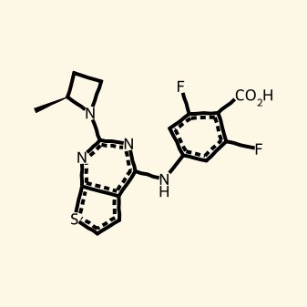 C[C@H]1CCN1c1nc(Nc2cc(F)c(C(=O)O)c(F)c2)c2ccsc2n1